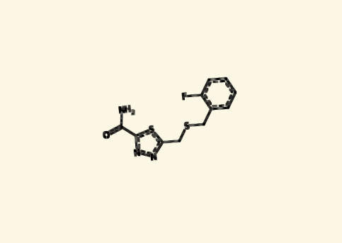 NC(=O)c1nnc(CSCc2ccccc2F)s1